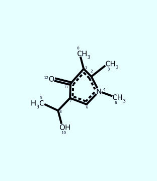 Cc1c(C)n(C)cc(C(C)O)c1=O